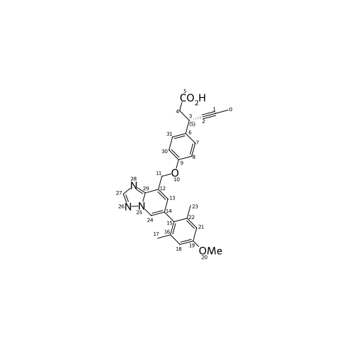 CC#C[C@@H](CC(=O)O)c1ccc(OCc2cc(-c3c(C)cc(OC)cc3C)cn3ncnc23)cc1